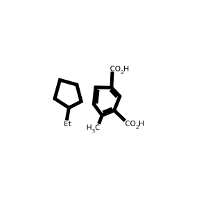 CCC1CCCC1.Cc1ccc(C(=O)O)cc1C(=O)O